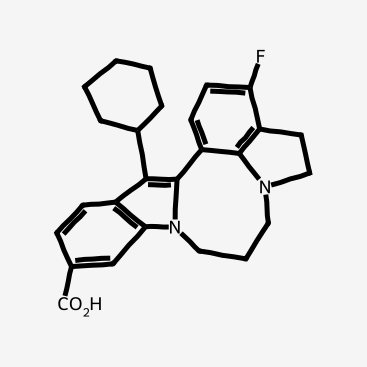 O=C(O)c1ccc2c(C3CCCCC3)c3n(c2c1)CCCN1CCc2c(F)ccc-3c21